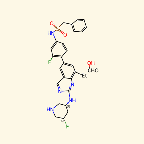 CCc1cc(-c2ccc(NS(=O)(=O)Cc3ccccc3)cc2F)cc2cnc(N[C@@H]3CNC[C@@H](F)C3)nc12.O=CO